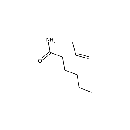 C=CC.CCCCCC(N)=O